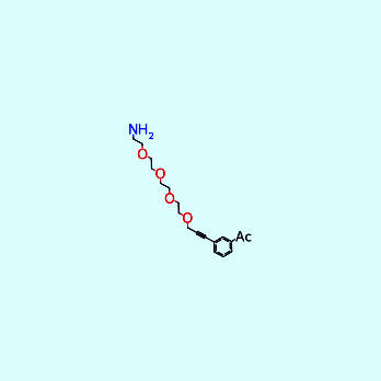 CC(=O)c1cccc(C#CCOCCOCCOCCOCCN)c1